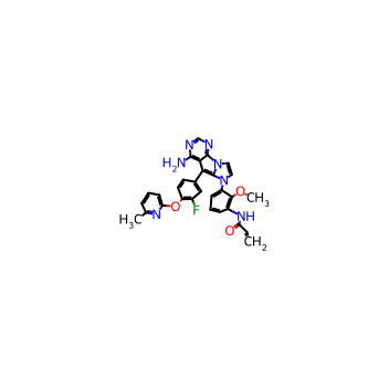 C=CC(=O)Nc1cccc(-n2ccn3c4ncnc(N)c4c(-c4ccc(Oc5cccc(C)n5)c(F)c4)c23)c1OC